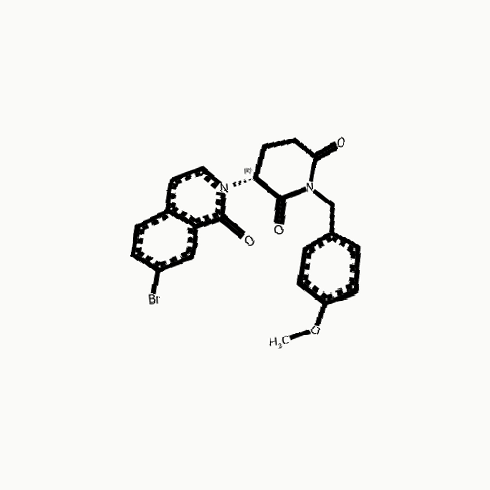 COc1ccc(CN2C(=O)CC[C@@H](n3ccc4ccc(Br)cc4c3=O)C2=O)cc1